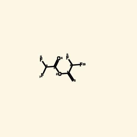 C=C(OC(=O)C(F)F)C(F)F